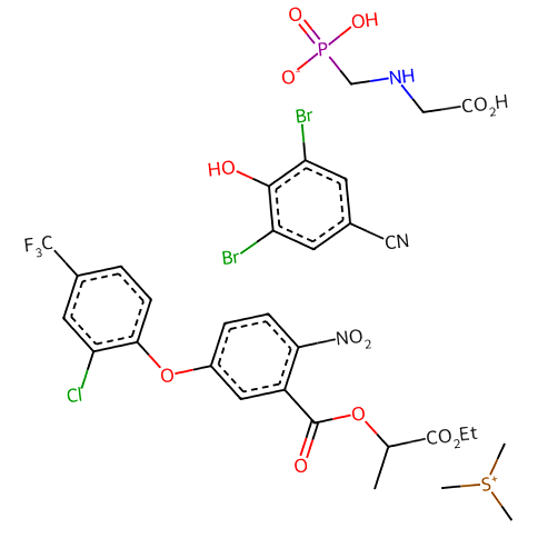 CCOC(=O)C(C)OC(=O)c1cc(Oc2ccc(C(F)(F)F)cc2Cl)ccc1[N+](=O)[O-].C[S+](C)C.N#Cc1cc(Br)c(O)c(Br)c1.O=C(O)CNCP(=O)([O-])O